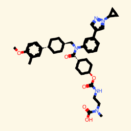 COc1ccc([C@H]2CC[C@H](CN(c3cccc(-c4cnn(C5CC5)c4)c3)C(=O)[C@H]3CC[C@H](OC(=O)NCCN(C)C(=O)O)CC3)CC2)cc1C